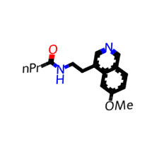 CCCC(=O)NCCc1cncc2ccc(OC)cc12